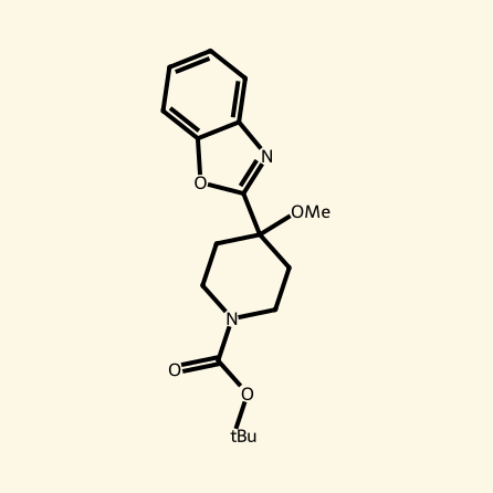 COC1(c2nc3ccccc3o2)CCN(C(=O)OC(C)(C)C)CC1